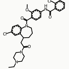 CCN1CCN(C(=O)CC2CCCN(C(=O)c3ccc(NC(=O)c4ccccc4Cl)cc3OC)c3ccc(Cl)cc32)CC1